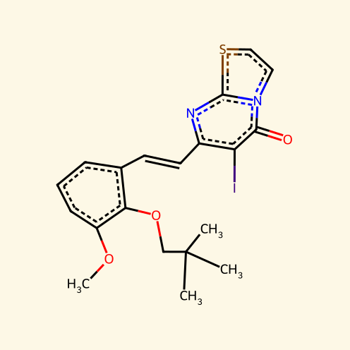 COc1cccc(C=Cc2nc3sccn3c(=O)c2I)c1OCC(C)(C)C